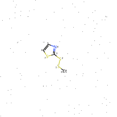 CCSSc1nccs1